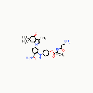 Cc1cn(-c2ccc(C(N)=O)c(N[C@H]3CC[C@H](OC(=O)[C@H](C)NC(=O)CCN)CC3)c2)c2c1C(=O)CC(C)(C)C2